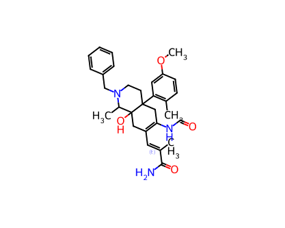 COc1ccc(C)c(C23CCN(Cc4ccccc4)C(C)C2(O)CC(/C=C(\C)C(N)=O)=C(NC=O)C3)c1